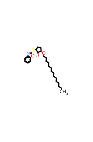 CCCCCCCCCCCCCCCOC1CCC(Sc2nc3ccccc3o2)C1=O